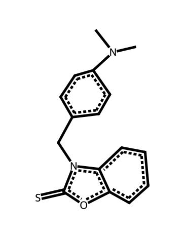 CN(C)c1ccc(Cn2c(=S)oc3ccccc32)cc1